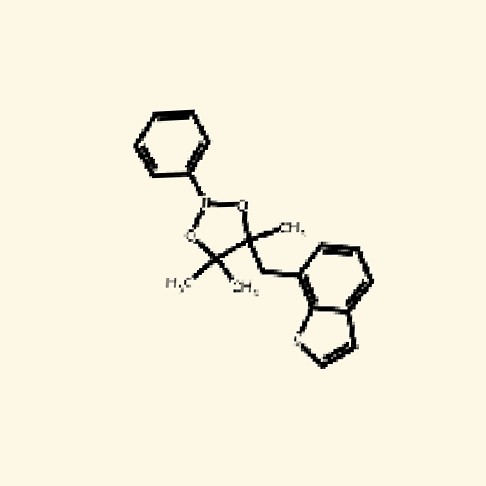 CC1(C)OB(c2ccccc2)OC1(C)Cc1cccc2ccsc12